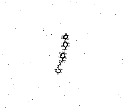 O=C(OCCN1CCCCC1)c1ccc(OCc2ccc(-c3ccccc3)cc2)cc1